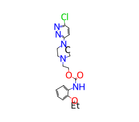 CCOc1ccccc1NC(=O)OCCN1CCN(c2ccc(Cl)nn2)CC1